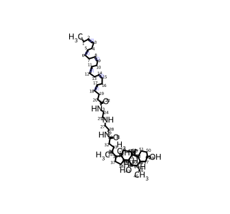 CC/C=C\C/C=C\C/C=C\C/C=C\C/C=C\C/C=C\CCC(=O)NCCNCCNC(=O)CC[C@@H](C)C1CC[C@H]2[C@@H]3[C@H](O)[C@H](CC)[C@@H]4C[C@H](O)CC[C@]4(C)[C@H]3CC[C@]12C